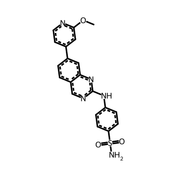 COc1cc(-c2ccc3cnc(Nc4ccc(S(N)(=O)=O)cc4)nc3c2)ccn1